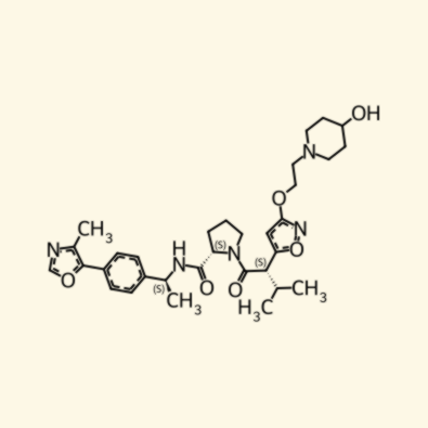 Cc1ncoc1-c1ccc([C@H](C)NC(=O)[C@@H]2CCCN2C(=O)[C@H](c2cc(OCCN3CCC(O)CC3)no2)C(C)C)cc1